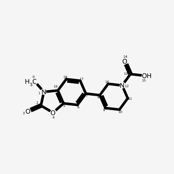 Cn1c(=O)oc2cc(C3=CCCN(C(=O)O)C3)ccc21